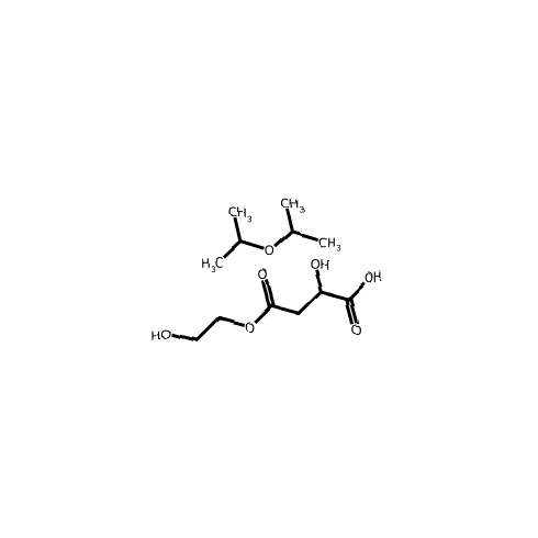 CC(C)OC(C)C.O=C(CC(O)C(=O)O)OCCO